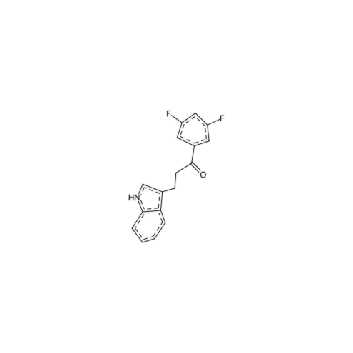 O=C(CCc1c[nH]c2ccccc12)c1cc(F)cc(F)c1